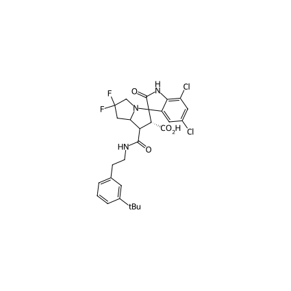 CC(C)(C)c1cccc(CCNC(=O)C2C3CC(F)(F)CN3C3(C(=O)Nc4c(Cl)cc(Cl)cc43)[C@@H]2C(=O)O)c1